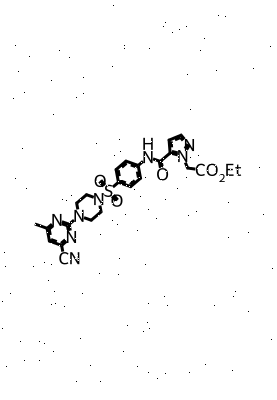 CCOC(=O)Cn1nccc1C(=O)Nc1ccc(S(=O)(=O)N2CCN(c3nc(C)cc(C#N)n3)CC2)cc1